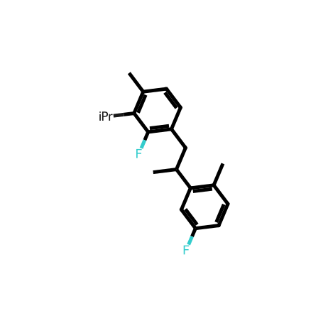 Cc1ccc(F)cc1C(C)Cc1ccc(C)c(C(C)C)c1F